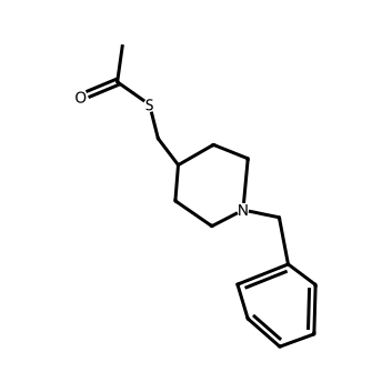 CC(=O)SCC1CCN(Cc2ccccc2)CC1